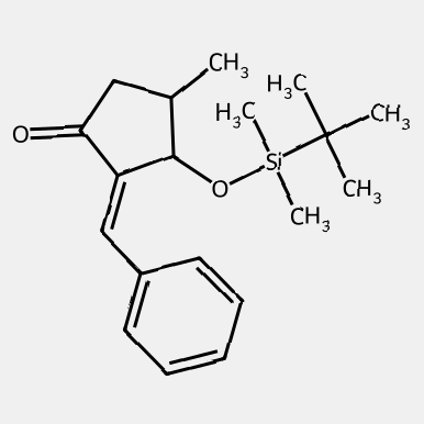 CC1CC(=O)C(=Cc2ccccc2)C1O[Si](C)(C)C(C)(C)C